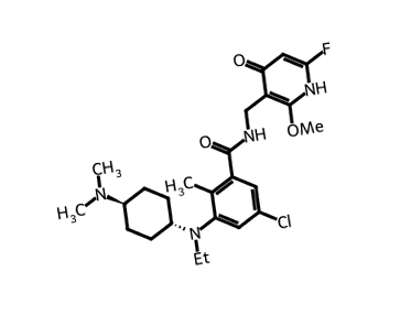 CCN(c1cc(Cl)cc(C(=O)NCc2c(OC)[nH]c(F)cc2=O)c1C)[C@H]1CC[C@H](N(C)C)CC1